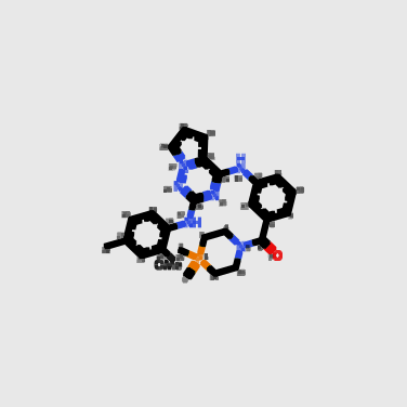 C=P1(C)CCN(C(=O)c2cccc(Nc3nc(Nc4ccc(C)cc4OC)nn4cccc34)c2)CC1